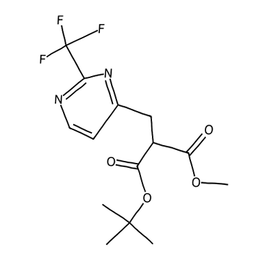 COC(=O)C(Cc1ccnc(C(F)(F)F)n1)C(=O)OC(C)(C)C